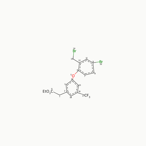 CCOC(=O)Cc1cc(Oc2ccc(Br)cc2CBr)cc(C(F)(F)F)c1